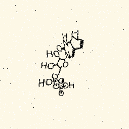 O=C1NC2NC=CC2=CN1C1OC(COP(=O)(O)O[PH](=O)O)C(O)C1O